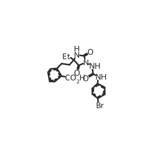 CCC1(CCc2ccccc2C(=O)O)NC(=O)N(NC(=O)Nc2ccc(Br)cc2)C1=O